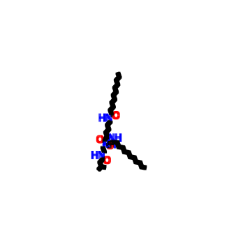 CCCCCCCCCCCC(=O)NCCCCC(NC(=O)CCCCCCCCCCC)C(=O)NCCNC(=O)CC(C)C